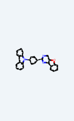 c1ccc2c(c1)oc1cnc(-c3ccc(-n4c5ccccc5c5ccccc54)cc3)nc12